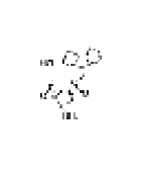 Cl.N[C@@H]1C[C@H](C(=O)O)CN(C(=O)OCC2c3ccccc3-c3ccccc32)C1